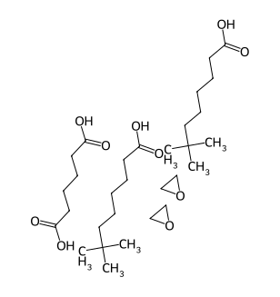 C1CO1.C1CO1.CC(C)(C)CCCCCC(=O)O.CC(C)(C)CCCCCC(=O)O.O=C(O)CCCCC(=O)O